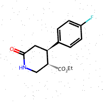 CCOC(=O)[C@@H]1CNC(=O)C[C@H]1c1ccc(F)cc1